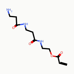 C=CC(=O)OCCNC(=O)CCNC(=O)CCN